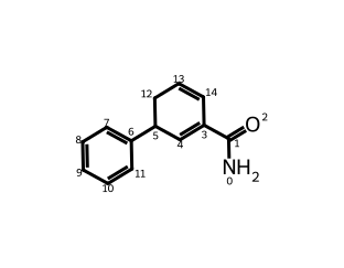 NC(=O)C1=CC(c2ccccc2)CC=C1